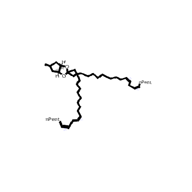 CCCCC/C=C\C/C=C\CCCCCCCCC1(CCCCCCCC/C=C\C/C=C\CCCCC)CC2(C1)O[C@H]1CC(C)C[C@H]1O2